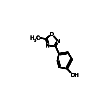 Cc1nc(-c2ccc(O)cc2)no1